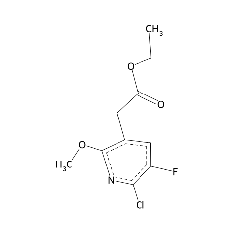 CCOC(=O)Cc1cc(F)c(Cl)nc1OC